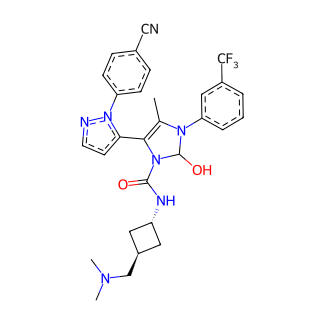 CC1=C(c2ccnn2-c2ccc(C#N)cc2)N(C(=O)N[C@H]2C[C@H](CN(C)C)C2)C(O)N1c1cccc(C(F)(F)F)c1